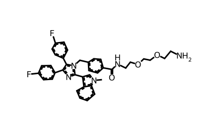 Cn1cc(-c2nc(-c3ccc(F)cc3)c(-c3ccc(F)cc3)n2Cc2ccc(C(=O)NCCOCCOCCN)cc2)c2ccccc21